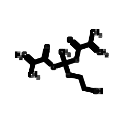 C=C(C)C(=O)OC(C)(OCCO)OC(=O)C(=C)C